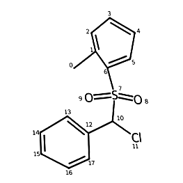 Cc1ccccc1S(=O)(=O)C(Cl)c1ccccc1